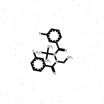 CCN(C(=O)c1cccc(F)c1)N(C(=O)c1cccc(F)c1)C(C)(C)C